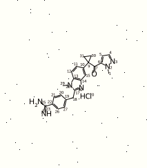 Cl.Cn1nccc1C(=O)C1(c2ccc3c(c2)nc(Cc2ccc(C(=N)N)cc2)n3C)CC1